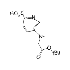 CC(C)(C)OC(=O)CNc1ccc(C(=O)O)nc1